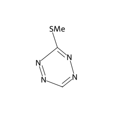 CSc1nncnn1